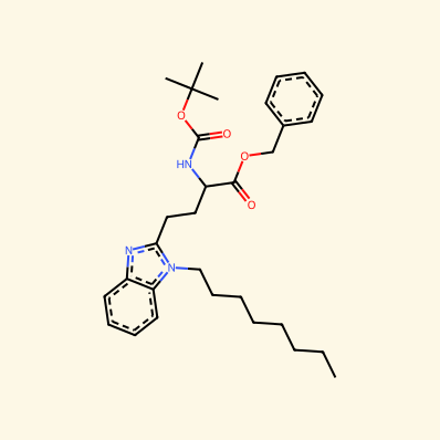 CCCCCCCCn1c(CCC(NC(=O)OC(C)(C)C)C(=O)OCc2ccccc2)nc2ccccc21